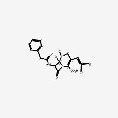 O=C(Cc1ccccc1)NC1C(=O)N2C(C(=O)O)=C(C=C(Br)Br)C[S+]([O-])[C@@H]12